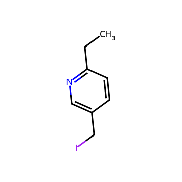 CCc1ccc(CI)cn1